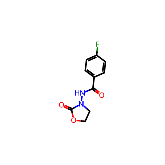 O=C(NN1CCOC1=O)c1ccc(F)cc1